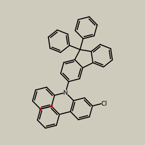 Clc1ccc(-c2ccccc2)c(N(c2ccccc2)c2ccc3c(c2)-c2ccccc2C3(c2ccccc2)c2ccccc2)c1